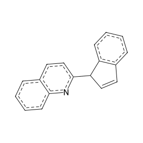 C1=CC(c2ccc3ccccc3n2)c2ccccc21